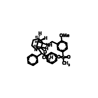 COc1ccc(S(C)(=O)=O)cc1CN[C@H]1[C@H]2CCN(C(OC(=O)O)C2)[C@H]1C(c1ccccc1)c1ccccc1